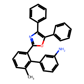 Cc1cccc(-c2nc(-c3ccccc3)c(-c3ccccc3)o2)c1-c1cccc(N)c1